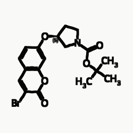 CC(C)(C)OC(=O)N1CC[C@H](Oc2ccc3cc(Br)c(=O)oc3c2)C1